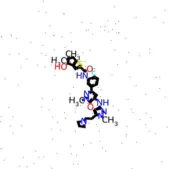 Cn1nc(Nc2cc(-c3ccc(F)c(NC(=O)c4cc5c(s4)CC(C)(C)[C@@H]5O)c3)nn(C)c2=O)cc1CCN1CCC1